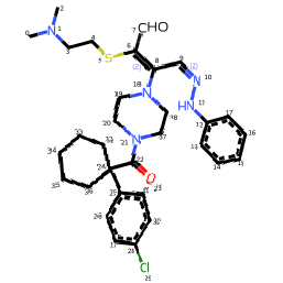 CN(C)CCS/C(C=O)=C(/C=N\Nc1ccccc1)N1CCN(C(=O)C2(c3ccc(Cl)cc3)CCCCC2)CC1